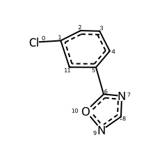 Clc1cccc(-c2n[c]no2)c1